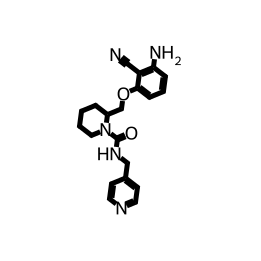 N#Cc1c(N)cccc1OCC1CCCCN1C(=O)NCc1ccncc1